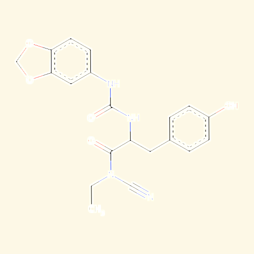 CCN(C#N)C(=O)C(Cc1ccc(O)cc1)NC(=O)Nc1ccc2c(c1)OCO2